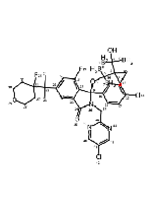 BC(B)(O)C1(C(B)(B)O[C@]2(c3ccc(Cl)cc3)c3c(F)cc(C(C)(C)C4(F)CCOCC4)cc3C(=O)N2Cc2ncc(Cl)cn2)CC1